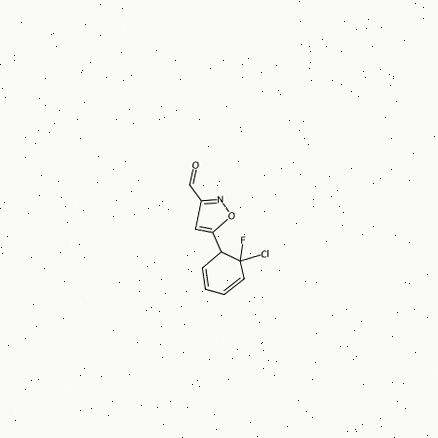 O=Cc1cc(C2C=CC=CC2(F)Cl)on1